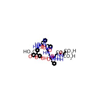 O=C1C=CC2C(=C1)Oc1cc(O)ccc1C2c1ccc(NC(=S)N[C@@H](Cc2ccccc2)C(=O)N[C@@H](Cc2ccccc2)C(=O)NCC(=O)NCCNC(=O)[C@H](Cc2ccccc2)NC(=O)CC[C@H](NC(=O)N[C@@H](CCC(=O)O)C(=O)O)C(=O)O)cc1C(=O)O